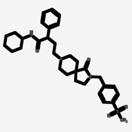 CS(=O)(=O)c1ccc(CN2CCC3(CCN(CCC(C(=O)NC4CCCCC4)c4ccccc4)CC3)C2=O)cc1